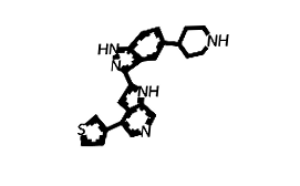 c1cc(-c2cncc3[nH]c(-c4n[nH]c5ccc(C6CCNCC6)cc45)cc23)cs1